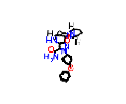 C=CC(=O)N1[C@@H]2CC[C@H]1CN(C1CCNc3c1nn(-c1ccc(Oc4ccccc4)cc1)c3C(N)=O)C2